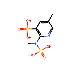 Cc1cnc(N(C)P(=O)(O)O)c(P(=O)(O)O)c1